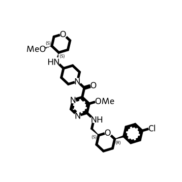 COc1c(NC[C@@H]2CCC[C@H](c3ccc(Cl)cc3)O2)ncnc1C(=O)N1CCC(N[C@H]2CCOC[C@H]2OC)CC1